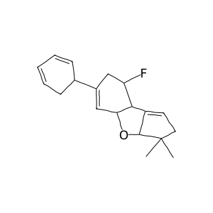 CC1(C)CC=C2C3C(F)CC(C4C=CC=CC4)=CC3OC21